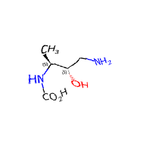 C[C@H](NC(=O)O)[C@@H](O)CN